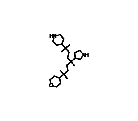 CC(C)(CCC(C)(CCC(C)(C)C1CCOCC1)C1CCNC1)C1CCNCC1